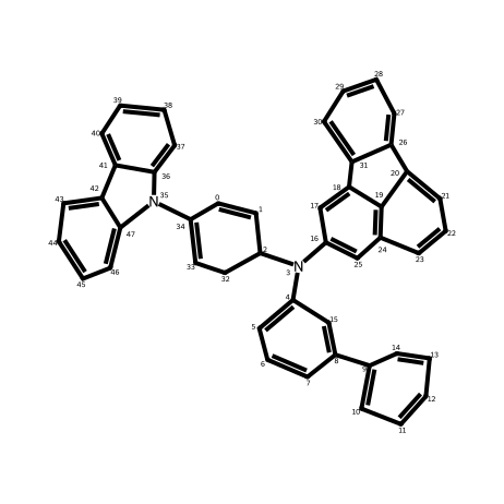 C1=CC(N(c2cccc(-c3ccccc3)c2)c2cc3c4c(cccc4c2)-c2ccccc2-3)CC=C1n1c2ccccc2c2ccccc21